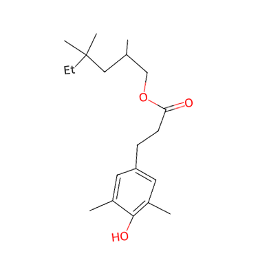 CCC(C)(C)CC(C)COC(=O)CCc1cc(C)c(O)c(C)c1